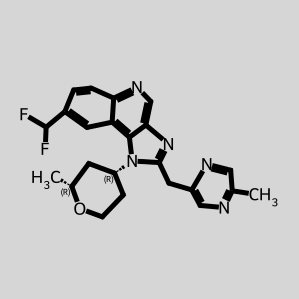 Cc1cnc(Cc2nc3cnc4ccc(C(F)F)cc4c3n2[C@@H]2CCO[C@H](C)C2)cn1